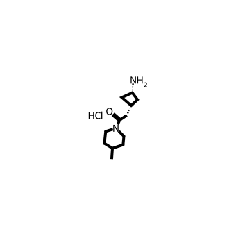 CC1CCN(C(=O)C[C@H]2C[C@@H](N)C2)CC1.Cl